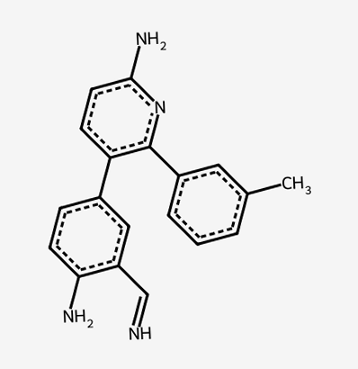 Cc1cccc(-c2nc(N)ccc2-c2ccc(N)c(C=N)c2)c1